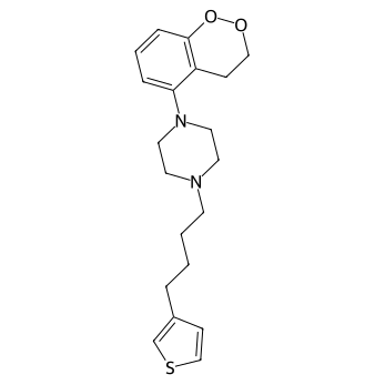 c1cc2c(c(N3CCN(CCCCc4ccsc4)CC3)c1)CCOO2